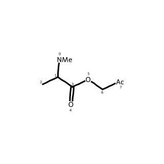 CNC(C)C(=O)OCC(C)=O